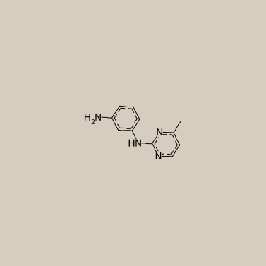 Cc1ccnc(Nc2cccc(N)c2)n1